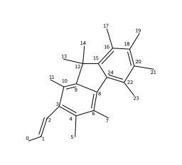 C/C=C/c1c(C)c(C)c2c(c1C)C(C)(C)c1c(C)c(C)c(C)c(C)c1-2